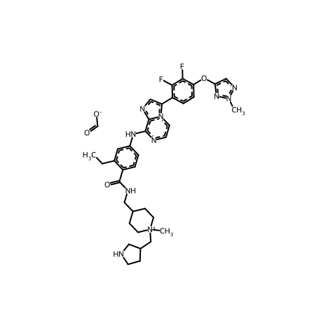 CCc1cc(Nc2nccn3c(-c4ccc(Oc5cnn(C)n5)c(F)c4F)cnc23)ccc1C(=O)NCC1CC[N+](C)(CC2CCNC2)CC1.O=C[O-]